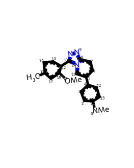 CNc1ccc(-c2ccc3nnc(-c4ccc(C)cc4OC)n3c2)cc1